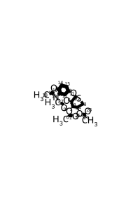 CC(=O)O[C@@H]1[C@@H](OC(C)=O)[C@@H](Oc2ccc3oc(C)nc3c2)SC[C@H]1OC(C)=O